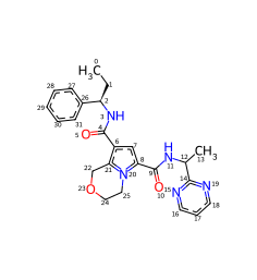 CC[C@@H](NC(=O)c1cc(C(=O)NC(C)c2ncccn2)n2c1COCC2)c1ccccc1